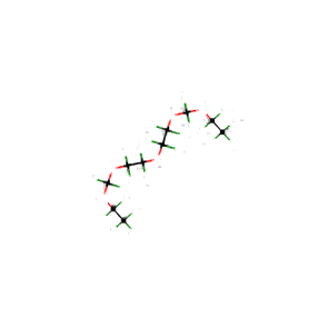 FC(F)(OC(F)(F)C(F)(F)F)OC(F)(F)C(F)(F)OC(F)(F)C(F)(F)OC(F)(F)OC(F)(F)C(F)(F)F